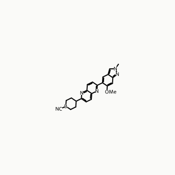 COc1cc2nn(C)cc2cc1-c1ccc2nc(C3CCB(C#N)CC3)ccc2n1